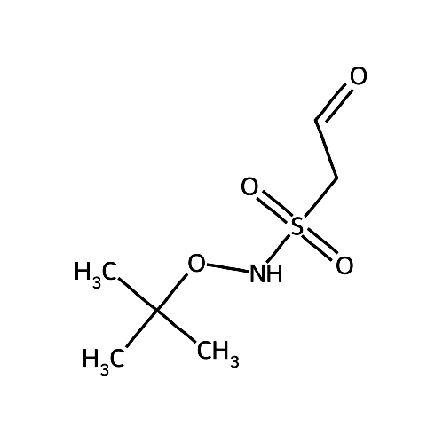 CC(C)(C)ONS(=O)(=O)CC=O